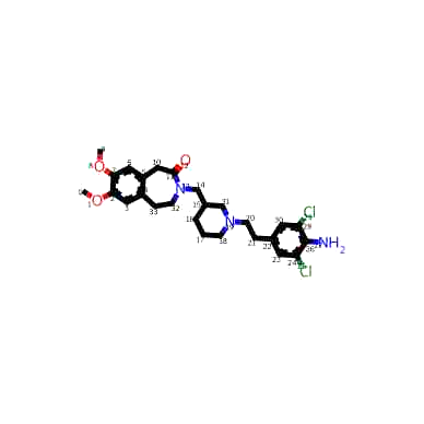 COc1cc2c(cc1OC)CC(=O)N(CC1CCCN(CCc3cc(Cl)c(N)c(Cl)c3)C1)CC2